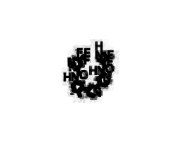 Cc1ccc(NC(=O)c2cc(C(F)(F)F)cnn2)cc1-c1ccnc(-c2ccnc(NC(=O)C3CNCC3(F)F)c2)c1